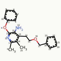 Cc1nc(Oc2ccccc2)c(N)c(CCOCc2ccccc2)c1C